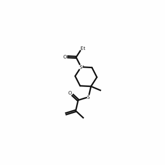 C=C(C)C(=O)SC1(C)CC[S+](C(=O)CC)CC1